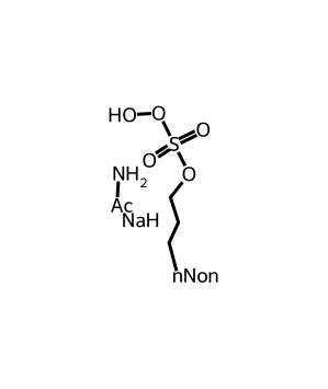 CC(N)=O.CCCCCCCCCCCCOS(=O)(=O)OO.[NaH]